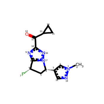 Cn1cc([C@@H]2C[C@H](F)c3nc(C(=O)C4CC4)nn32)cn1